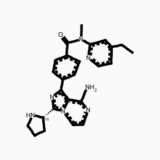 CCc1ccnc(N(C)C(=O)c2ccc(-c3nc([C@@H]4CCCN4)n4ccnc(N)c34)cc2)c1